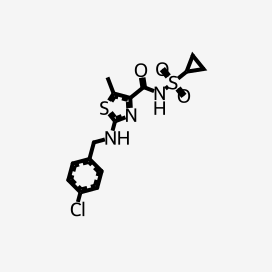 Cc1sc(NCc2ccc(Cl)cc2)nc1C(=O)NS(=O)(=O)C1CC1